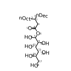 CCCCCCCCCCC(CCCCCCCC)CC(=O)OC(O)[C@@H](O)[C@@H](O)[C@H](O)[C@H](O)CO